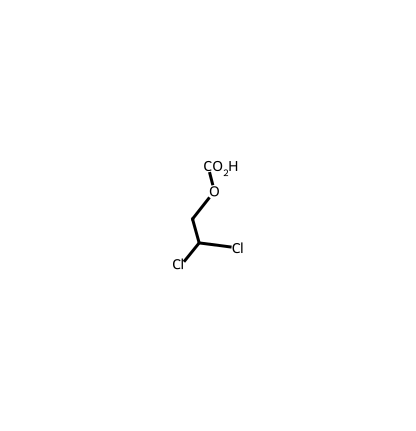 O=C(O)OCC(Cl)Cl